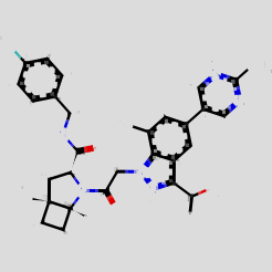 Cc1ncc(-c2cc(C)c3c(c2)c(C(C)O)nn3CC(=O)N2[C@H](C(=O)NCc3ccc(F)cc3)C[C@@]3(C)CC[C@@H]23)cn1